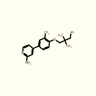 CC(C)CC(C)(C)COc1ccc(-c2ccnc(N)c2)cc1C(F)(F)F